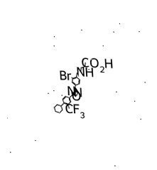 O=C(O)CCNCc1ccc(-c2noc(-c3ccc(C4CCCCC4)c(C(F)(F)F)c3)n2)cc1Br